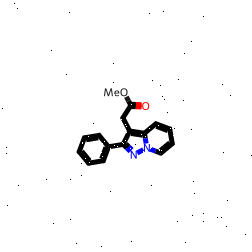 COC(=O)Cc1c(-c2ccccc2)nn2ccccc12